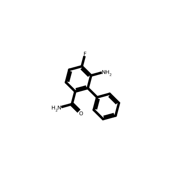 NC(=O)c1ccc(F)c(N)c1-c1ccccc1